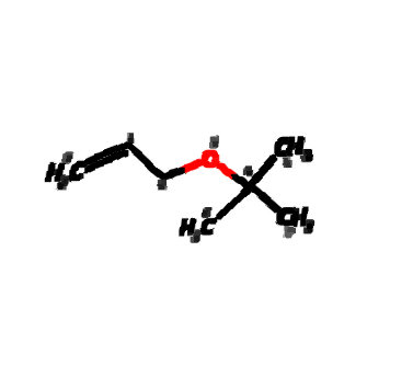 C=CCOC(C)(C)C